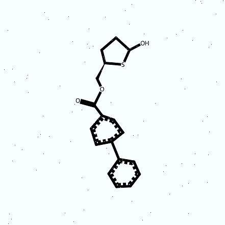 O=C(OC[C@H]1CCC(O)S1)c1ccc(-c2ccccc2)cc1